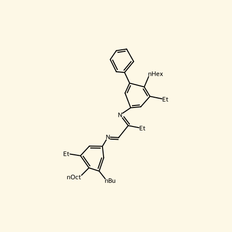 CCCCCCCCc1c(CC)cc(N=CC(CC)=Nc2cc(CC)c(CCCCCC)c(-c3ccccc3)c2)cc1CCCC